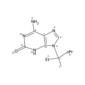 CCCC(C)(CC)n1cnc2c(N)nc(=O)[nH]c21